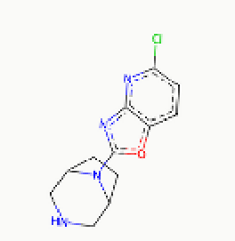 Clc1ccc2oc(N3C4CCC3CNC4)nc2n1